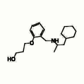 CC(CC1CCCCC1)NCc1ccccc1OCCCO